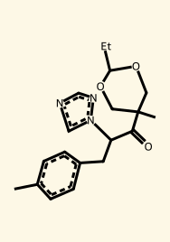 CCC1OCC(C)(C(=O)C(Cc2ccc(C)cc2)n2cncn2)CO1